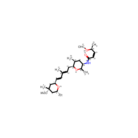 CC[C@@H]1C[C@](C)(OC)C[C@@H](/C=C/C(C)=C/C[C@@H]2OC(C)[C@H](NC(=O)/C=C\[C@H](C)OC=O)C[C@@H]2C)O1